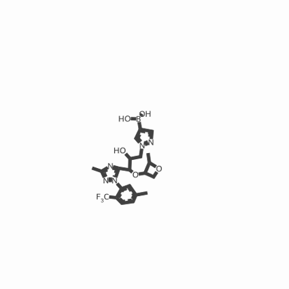 Cc1ccc(C(F)(F)F)c(-n2nc(C)nc2C(OC2COC2C)C(O)Cn2cc(B(O)O)cn2)c1